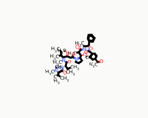 CCC(C)C(C(CC(=O)N1CCCC1[C@H](OC)C(C)C(=O)NC(C)C(OC(=O)c1ccc(C(C)=O)cc1)c1ccccc1)OC)N(C)C(=O)[C@@H](NC(=O)C(C(C)C)N(C)C)C(C)C